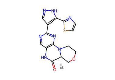 CC[C@@]12COCCN1c1nc(-c3cn[nH]c3-c3nccs3)ncc1NC2=O